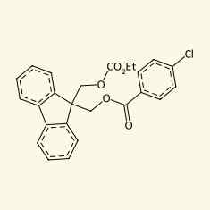 CCOC(=O)OCC1(COC(=O)c2ccc(Cl)cc2)c2ccccc2-c2ccccc21